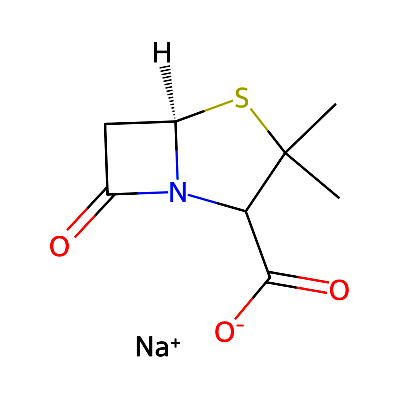 CC1(C)S[C@@H]2CC(=O)N2C1C(=O)[O-].[Na+]